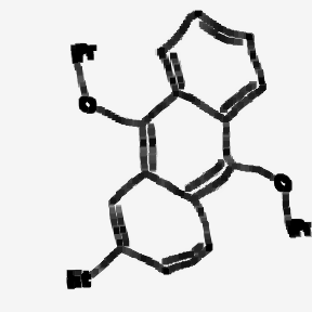 CCc1ccc2c(OC(C)C)c3ccccc3c(OC(C)C)c2c1